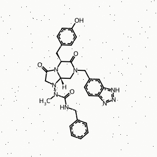 CN(C(=O)NCc1ccccc1)N1CC(=O)N2[C@@H](Cc3ccc(O)cc3)C(=O)N(Cc3ccc4nn[nH]c4c3)C[C@@H]21